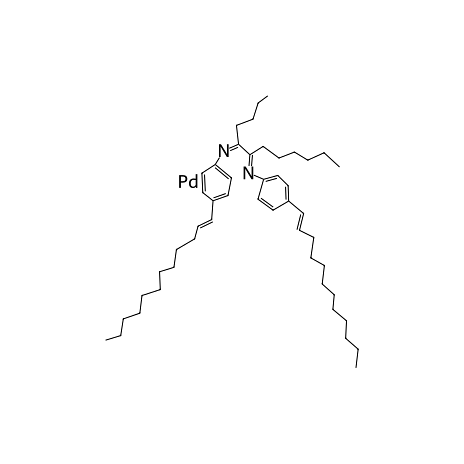 CCCCCCCCCCC=Cc1ccc(N=C(CCCC)C(CCCCCC)=Nc2ccc(C=CCCCCCCCCCC)cc2)cc1.[Pd]